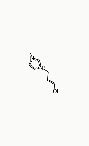 Cn1cc[n+](CC=CO)c1